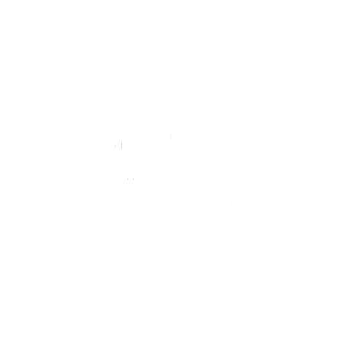 O=C(OCC1CC2C=CC1C2)C(Cl)(Cl)Cl